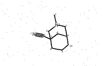 CN1CC2[CH]C(C#N)(CCC2)C1